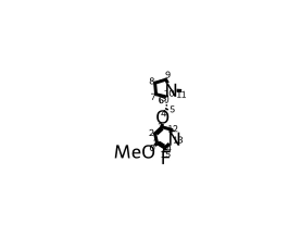 COc1cc(OC[C@@H]2CCCN2C)cnc1F